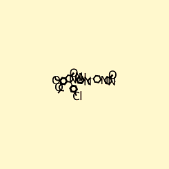 COc1cc2c(cc1OC(C)C)[C@H](c1ccc(Cl)cc1)N(c1ccc(N(C)C[C@H]3CC[C@H](N4CCN(C)C(=O)C4)CC3)nn1)C(=O)C2